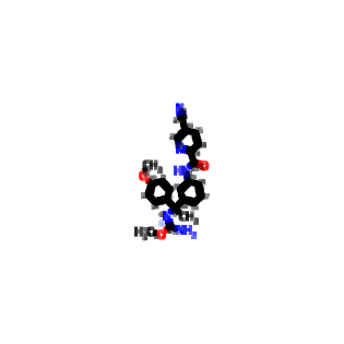 CO/C(N)=N/C(C)(c1ccc(OC)cc1)c1cccc(NC(=O)c2ccc(C#N)cn2)c1